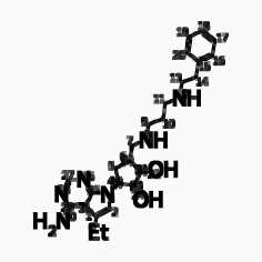 CCc1cn([C@H]2C[C@@H](CNCCCNCCc3ccccc3)[C@H](O)[C@@H]2O)c2ncnc(N)c12